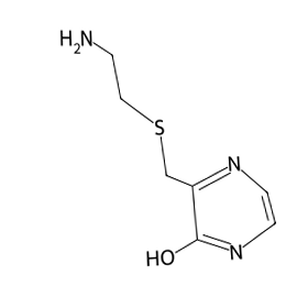 NCCSCc1nccnc1O